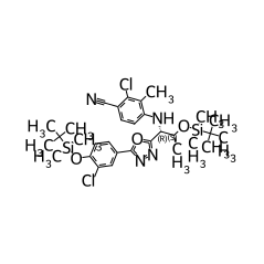 Cc1c(N[C@@H](c2nnc(-c3ccc(O[Si](C)(C)C(C)(C)C)c(Cl)c3)o2)[C@H](C)O[Si](C)(C)C(C)(C)C)ccc(C#N)c1Cl